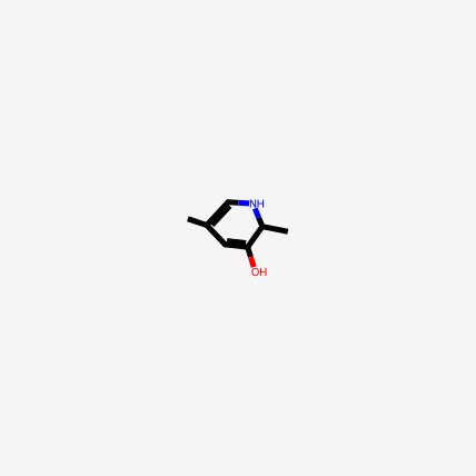 CC1=CNC(C)C(O)=C1